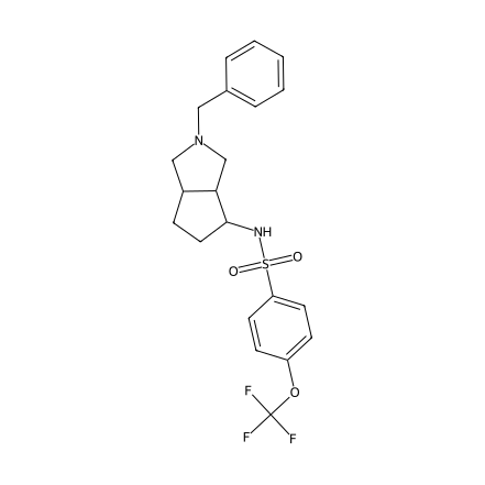 O=S(=O)(NC1CCC2CN(Cc3ccccc3)CC21)c1ccc(OC(F)(F)F)cc1